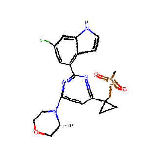 C[C@@H]1COCCN1c1cc(C2(S(C)(=O)=O)CC2)nc(-c2cc(F)cc3[nH]ccc23)n1